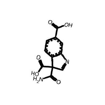 NC(=O)C1(C(=O)O)C=Nc2cc(C(=O)O)ccc21